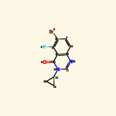 O=c1c2c(F)c(Br)ccc2ncn1C1CC1